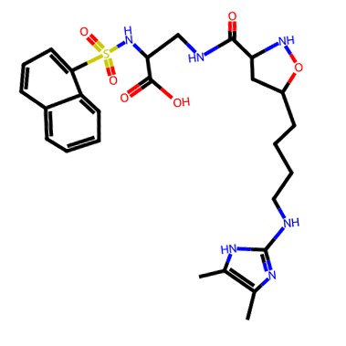 Cc1nc(NCCCCC2CC(C(=O)NCC(NS(=O)(=O)c3cccc4ccccc34)C(=O)O)NO2)[nH]c1C